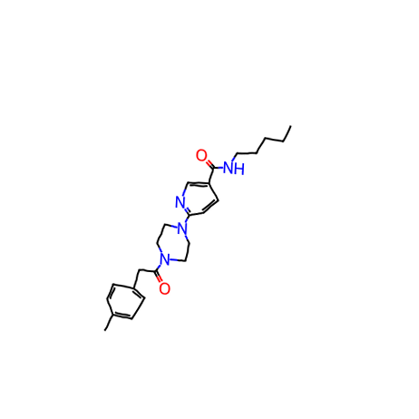 CCCCCNC(=O)c1ccc(N2CCN(C(=O)Cc3ccc(C)cc3)CC2)nc1